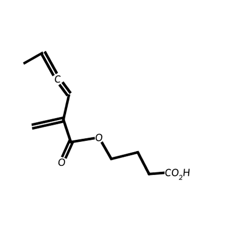 C=C(C=C=CC)C(=O)OCCCC(=O)O